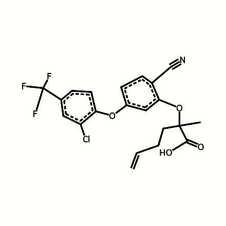 C=CCCC(C)(Oc1cc(Oc2ccc(C(F)(F)F)cc2Cl)ccc1C#N)C(=O)O